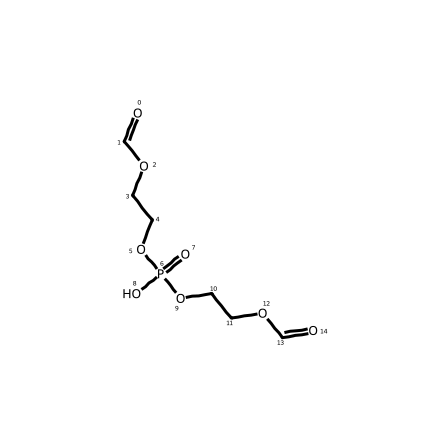 O=COCCOP(=O)(O)OCCOC=O